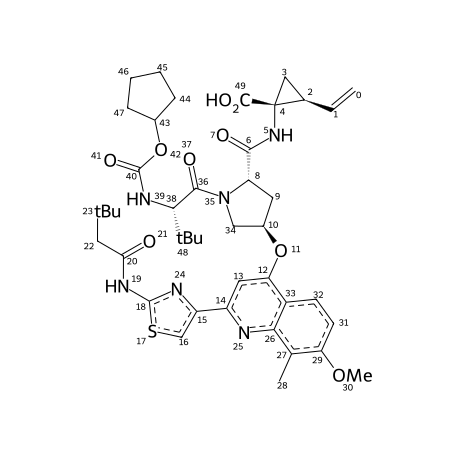 C=C[C@@H]1C[C@]1(NC(=O)[C@@H]1C[C@@H](Oc2cc(-c3csc(NC(=O)CC(C)(C)C)n3)nc3c(C)c(OC)ccc23)CN1C(=O)[C@@H](NC(=O)OC1CCCC1)C(C)(C)C)C(=O)O